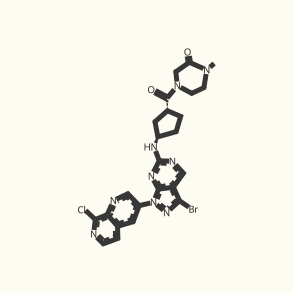 CN1CCN(C(=O)[C@@H]2CC[C@@H](Nc3ncc4c(Br)nn(-c5cnc6c(Cl)nccc6c5)c4n3)C2)CC1=O